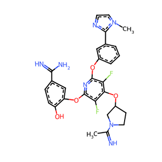 CC(=N)N1CCC(Oc2c(F)c(Oc3cccc(-c4nccn4C)c3)nc(Oc3cc(C(=N)N)ccc3O)c2F)C1